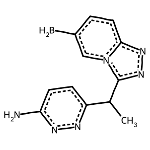 Bc1ccc2nnc(C(C)c3ccc(N)nn3)n2c1